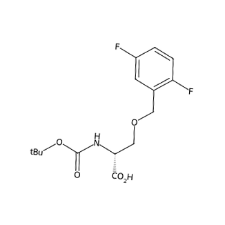 CC(C)(C)OC(=O)N[C@H](COCc1cc(F)ccc1F)C(=O)O